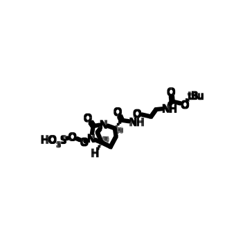 CC(C)(C)OC(=O)NCCONC(=O)[C@@H]1CC[C@@H]2CN1C(=O)N2OOS(=O)(=O)O